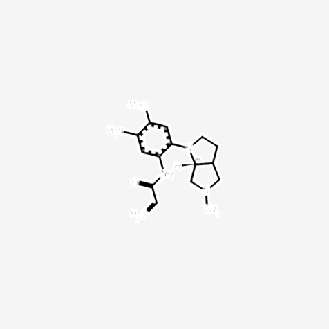 C=CC(=O)Nc1cc(N)c(OC)cc1N1CCC2CN(C)C[C@@H]21